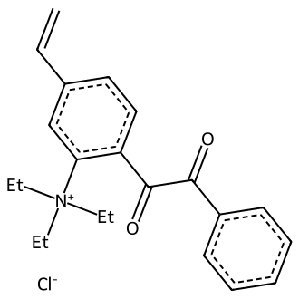 C=Cc1ccc(C(=O)C(=O)c2ccccc2)c([N+](CC)(CC)CC)c1.[Cl-]